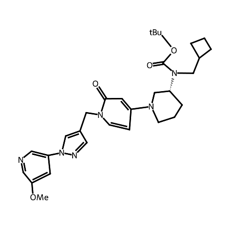 COc1cncc(-n2cc(Cn3ccc(N4CCC[C@@H](N(CC5CCC5)C(=O)OC(C)(C)C)C4)cc3=O)cn2)c1